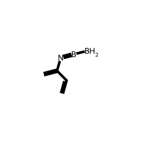 BB=NC(=C)C=C